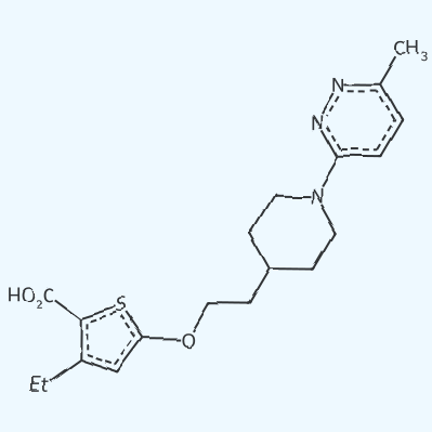 CCc1cc(OCCC2CCN(c3ccc(C)nn3)CC2)sc1C(=O)O